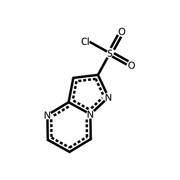 O=S(=O)(Cl)c1cc2ncccn2n1